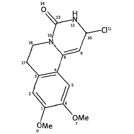 COc1cc2c(cc1OC)C1=CC(Cl)NC(=O)N1CC2